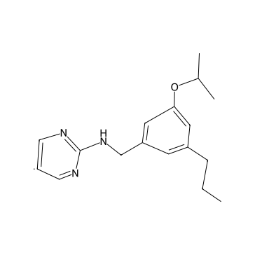 CCCc1cc(CNc2nc[c]cn2)cc(OC(C)C)c1